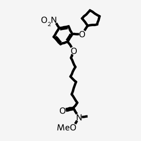 CON(C)C(=O)CCCCCCOc1ccc([N+](=O)[O-])cc1OC1CCCC1